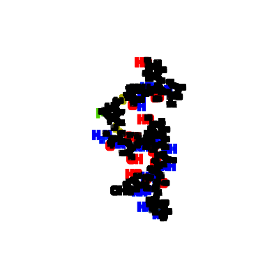 CC(=O)N[C@@H](CSCc1cc(F)cc(CSC[C@H](NC(=O)[C@@H](NC(=O)C(C)(NC(=O)[C@H](Cc2ccc(O)cc2)NC(=O)[C@H](C)NC(=O)C(C)(C)NC(=O)[C@H](Cc2c[nH]c3ncccc23)NC(=O)[C@@H](NC=O)[C@@H](C)O)C(C)C)[C@@H](C)O)C(N)=O)c1)C(=O)N[C@H](C(=O)N[C@@H](Cc1ccc(O)cc1)C(=O)N1CCC[C@H]1C)C(C)(C)C